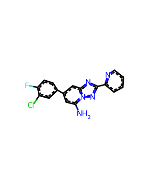 Nc1cc(-c2ccc(F)c(Cl)c2)cc2nc(-c3ccccn3)nn12